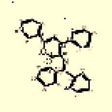 O=c1oc(-c2cccnc2)cc(-c2ccccc2)c1N=C(c1ccccc1)c1ccccc1